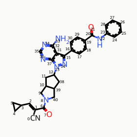 N#CC(=CC1CC1)C(=O)N1CC2CC(n3nc(-c4ccc(C(=O)Nc5ccccc5)cc4)c4c(N)ncnc43)CC2C1